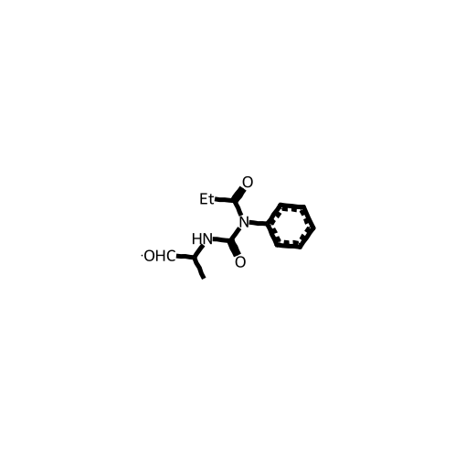 CCC(=O)N(C(=O)NC(C)[C]=O)c1ccccc1